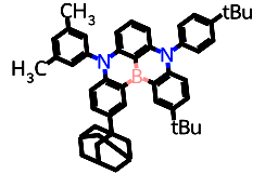 Cc1cc(C)cc(N2c3ccc(C45CC6CC(CC(C6)C4)C5)cc3B3c4cc(C(C)(C)C)ccc4N(c4ccc(C(C)(C)C)cc4)c4cccc2c43)c1